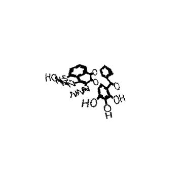 O=C(c1ccccc1)c1ccc(O)c(O)c1O.[N-]=[N+]=NC1=C(N=[N+]=[N-])c2c(cccc2S(=O)(=O)O)C(=O)C1=O